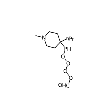 CCCC1(POOOOC=O)CCN(C)CC1